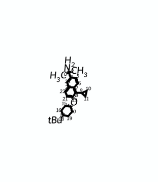 CC(C)(N)c1ccc2c(C3CC3)c(O[C@H]3CC[C@H](C(C)(C)C)CC3)ccc2c1